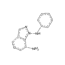 Nc1cccc2cnn(Nc3ccccc3)c12